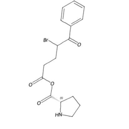 O=C(CCC(Br)C(=O)c1ccccc1)OC(=O)[C@@H]1CCCN1